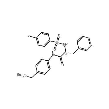 CCOC(=O)Cc1ccc(NC(=O)[C@@H](Cc2ccccc2)NS(=O)(=O)c2ccc(Br)cc2)cc1